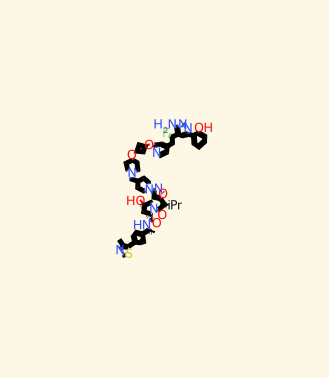 Cc1ncsc1-c1ccc([C@H](C)NC(=O)[C@@H]2C[C@@H](O)CN2C(=O)[C@@H](c2cc(N3CCC(CN4CCC(O[C@H]5C[C@H](Oc6cc(CC(F)c7cc(-c8ccccc8O)nnc7N)ccn6)C5)CC4)CC3)no2)C(C)C)cc1